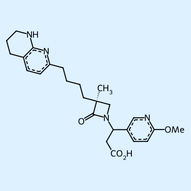 COc1ccc(C(CC(=O)O)N2C[C@](C)(CCCCc3ccc4c(n3)NCCC4)C2=O)cn1